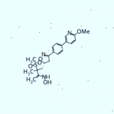 C=C(NO)C(C)(C[C@H]1CC(c2ccc(-c3ccc(OC)nc3)cc2)=NO1)S(C)(=O)=O